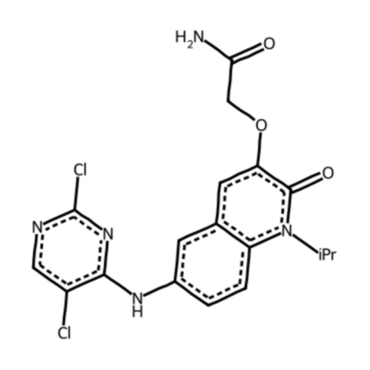 CC(C)n1c(=O)c(OCC(N)=O)cc2cc(Nc3nc(Cl)ncc3Cl)ccc21